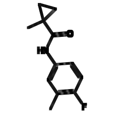 Cc1cc(NC(=O)C2(C)CC2)ccc1F